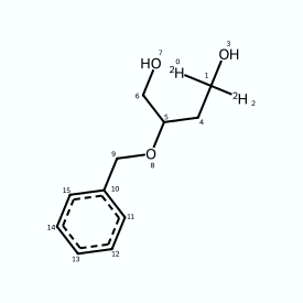 [2H]C([2H])(O)CC(CO)OCc1ccccc1